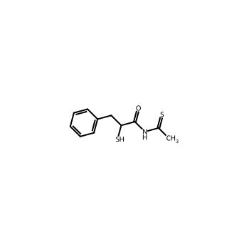 CC(=S)NC(=O)C(S)Cc1ccccc1